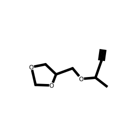 C#CC(C)OCC1COCO1